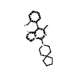 Cc1nc(N2CCC3(CCCC3)CC2)n2ccnc2c1-c1ccccc1Cl